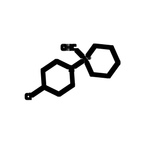 O=C[N+]1(N2CCC(Cl)CC2)CCCCC1